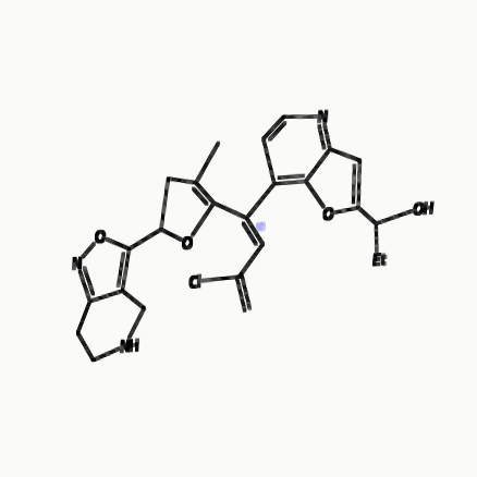 C=C(Cl)/C=C(\C1=C(C)CC(c2onc3c2CNCC3)O1)c1ccnc2cc(C(O)CC)oc12